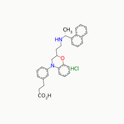 C[C@@H](NCCC1CN(c2cccc(CCC(=O)O)c2)c2ccccc2O1)c1cccc2ccccc12.Cl